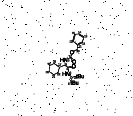 CC(C)(C)C(NC(=O)[C@@H](NC(=O)OCc1ccccc1)C1CCCCC1)C(C)(C)C